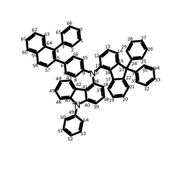 c1ccc(-c2c(-c3ccc(N(c4cccc5c4-c4ccccc4C5(c4ccccc4)c4ccccc4)c4cccc5c4c4ccccc4n5-c4ccccc4)cc3)ccc3ccccc23)cc1